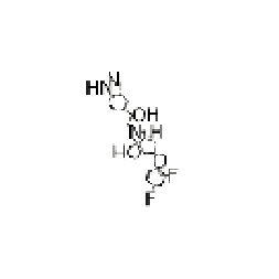 OC(CN1C[C@H]2C[C@H](Oc3ccc(F)cc3F)C[C@@]2(O)C1)c1ccc2[nH]ncc2c1